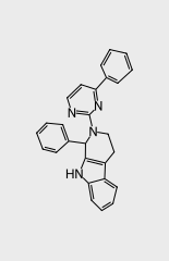 c1ccc(-c2ccnc(N3CCc4c([nH]c5ccccc45)C3c3ccccc3)n2)cc1